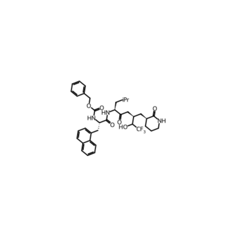 CC(C)C[C@H](NC(=O)[C@H](Cc1cccc2ccccc12)NC(=O)OCc1ccccc1)C(=O)C[C@@H](C[C@@H]1CCCNC1=O)C(O)C(F)(F)F